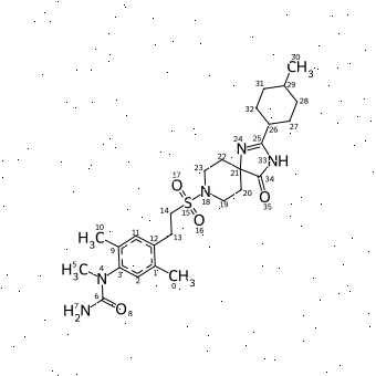 Cc1cc(N(C)C(N)=O)c(C)cc1CCS(=O)(=O)N1CCC2(CC1)N=C(C1CCC(C)CC1)NC2=O